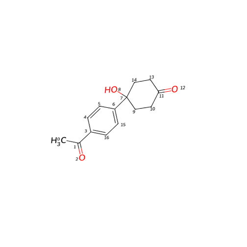 CC(=O)c1ccc(C2(O)CCC(=O)CC2)cc1